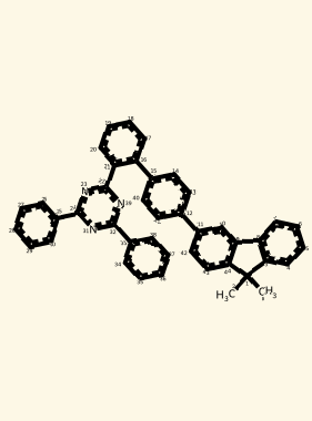 CC1(C)c2ccccc2-c2cc(-c3ccc(-c4ccccc4-c4nc(-c5ccccc5)nc(-c5ccccc5)n4)cc3)ccc21